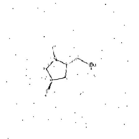 CN1C[C@H](F)C[C@H]1CC(C)(C)C